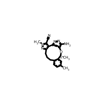 Cc1ccc2c(c1)[C@@H](C)Oc1cc(nnc1N)-c1c(nn(C)c1C#N)CCC2